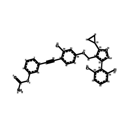 NC(=O)Oc1cccc(C#Cc2ccc(OCc3c(-c4c(Cl)cccc4Cl)noc3C3CC3)cc2Cl)c1